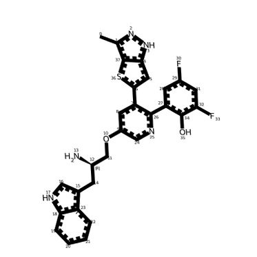 Cc1n[nH]c2cc(-c3cc(OC[C@H](N)Cc4c[nH]c5ccccc45)cnc3-c3cc(F)cc(F)c3O)sc12